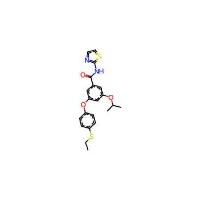 CCSc1ccc(Oc2cc(OC(C)C)cc(C(=O)Nc3nccs3)c2)cc1